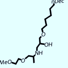 CCCCCCCCCCCCCCCCOCC(O)CNC(C)COCCOC